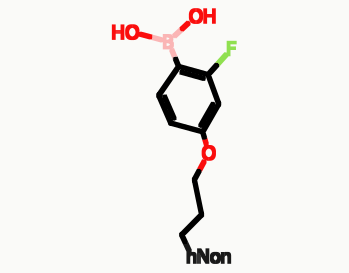 CCCCCCCCCCCCOc1ccc(B(O)O)c(F)c1